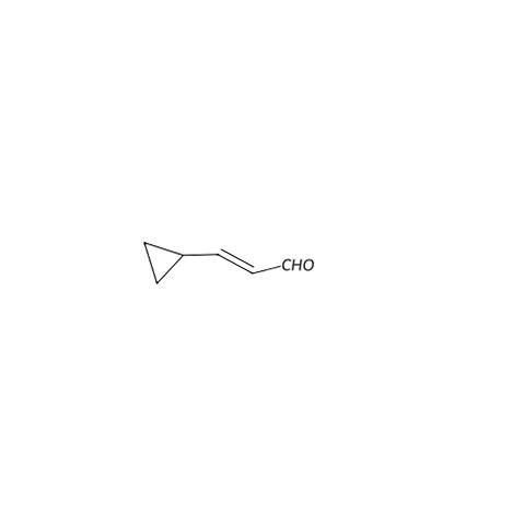 O=CC=CC1CC1